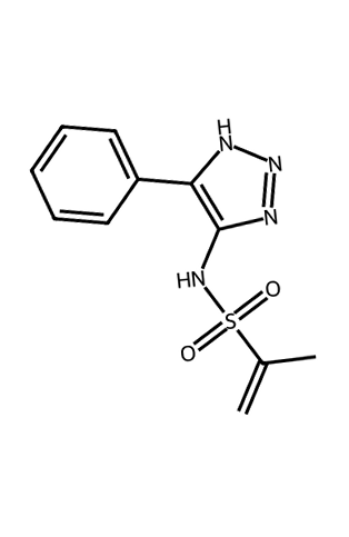 C=C(C)S(=O)(=O)Nc1nn[nH]c1-c1ccccc1